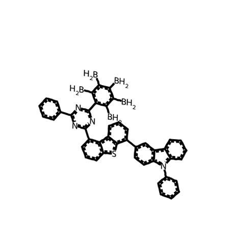 Bc1c(B)c(B)c(-c2nc(-c3ccccc3)nc(-c3cccc4sc5c(-c6ccc7c(c6)c6ccccc6n7-c6ccccc6)cccc5c34)n2)c(B)c1B